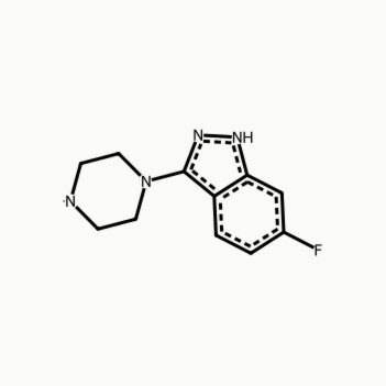 Fc1ccc2c(N3CC[N]CC3)n[nH]c2c1